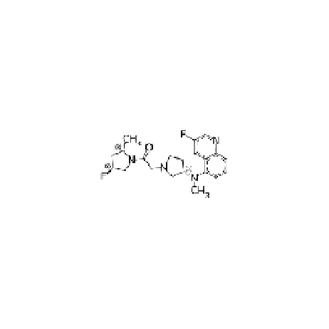 C[C@@H]1C[C@H](F)CN1C(=O)CN1CC[C@H](N(C)c2cccc3ncc(F)cc23)C1